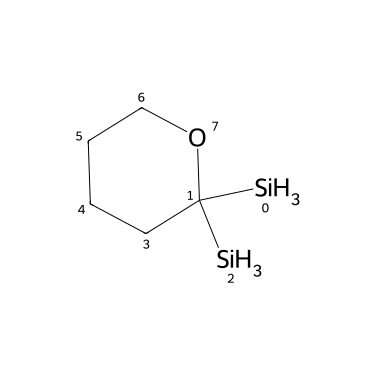 [SiH3]C1([SiH3])CCCCO1